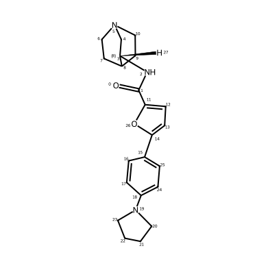 O=C(N[C@H]1CN2CCC1CC2)c1ccc(-c2ccc(N3CCCC3)cc2)o1